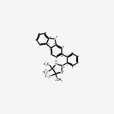 CC1(C)OB(c2ccccc2-c2ccc3c(c2)oc2ccccc23)OC1(C)C